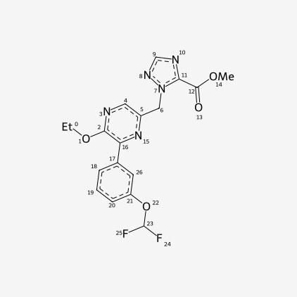 CCOc1ncc(Cn2ncnc2C(=O)OC)nc1-c1cccc(OC(F)F)c1